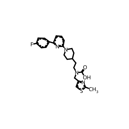 Cc1nc(CN(CCC2CCN(c3cccc(-c4ccc(F)cc4)n3)CC2)C(=O)O)cs1